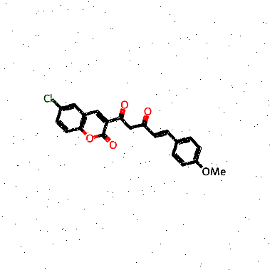 COc1ccc(/C=C/C(=O)CC(=O)c2cc3cc(Cl)ccc3oc2=O)cc1